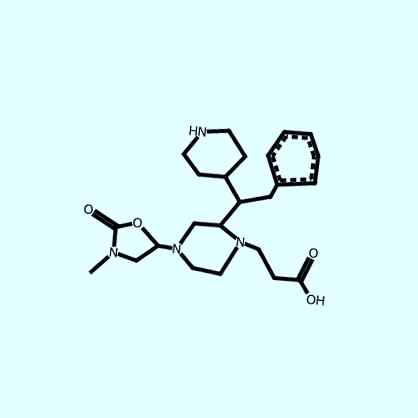 CN1CC(N2CCN(CCC(=O)O)C(C(Cc3ccccc3)C3CCNCC3)C2)OC1=O